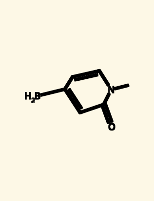 Bc1ccn(C)c(=O)c1